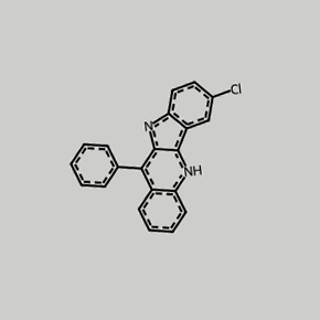 Clc1ccc2nc3c(-c4ccccc4)c4ccccc4[nH]c-3c2c1